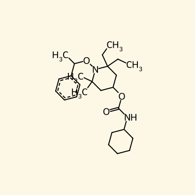 CCC1(CC)CC(OC(=O)NC2CCCCC2)CC(C)(C)N1OC(C)c1ccccc1